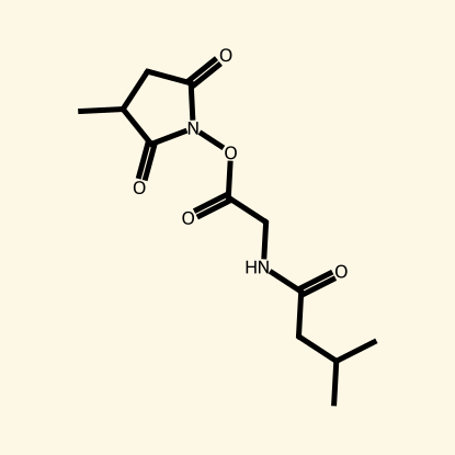 CC(C)CC(=O)NCC(=O)ON1C(=O)CC(C)C1=O